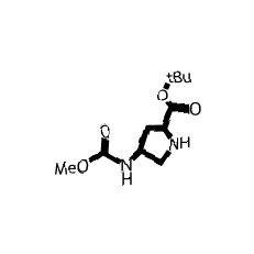 COC(=O)NC1CNC(C(=O)OC(C)(C)C)C1